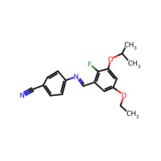 CCOc1cc(/C=N/c2ccc(C#N)cc2)c(F)c(OC(C)C)c1